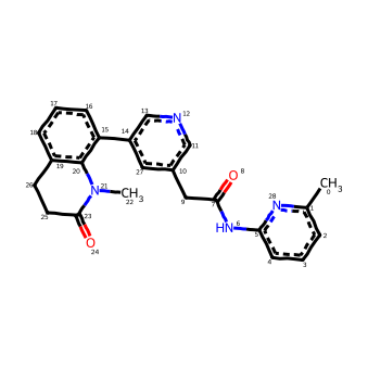 Cc1cccc(NC(=O)Cc2cncc(-c3cccc4c3N(C)C(=O)CC4)c2)n1